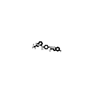 O=C(NC1CCC(Nc2cccc3nc(C(F)(F)F)cn23)CC1)c1cc2cc(F)ccc2o1